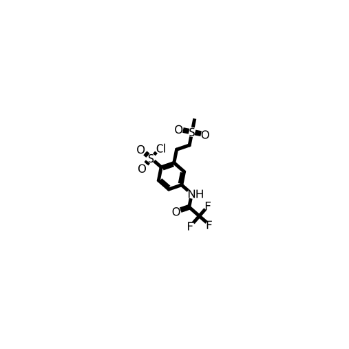 CS(=O)(=O)CCc1cc(NC(=O)C(F)(F)F)ccc1S(=O)(=O)Cl